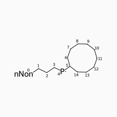 CCCCCCCCCCCC[P]C1CCCCCCCCC1